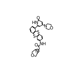 O=C(CN1C2CCC1COC2)Nc1ccc2c(c1)Sc1cccc(-c3cc(N4CCOCC4)cc(=O)[nH]3)c1S2